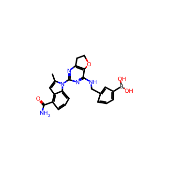 Cc1cc2c(C(N)=O)cccc2n1-c1nc2c(c(NCc3cccc(B(O)O)c3)n1)OCC2